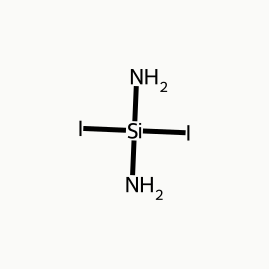 N[Si](N)(I)I